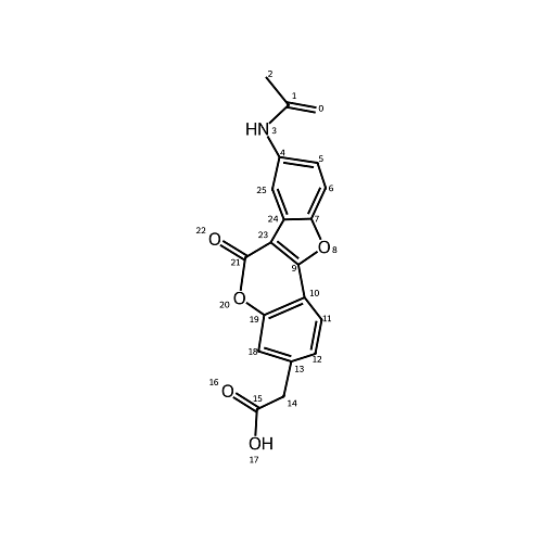 C=C(C)Nc1ccc2oc3c4ccc(CC(=O)O)cc4oc(=O)c3c2c1